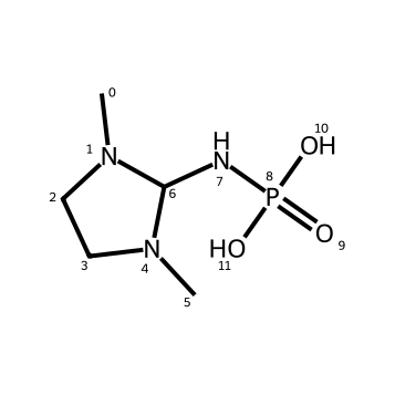 CN1CCN(C)C1NP(=O)(O)O